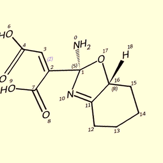 N[C@@]1(/C(=C/C(=O)O)C(=O)O)N=C2CCCC[C@H]2O1